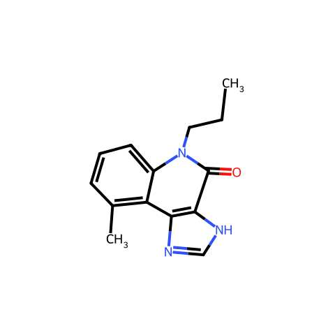 CCCn1c(=O)c2[nH]cnc2c2c(C)cccc21